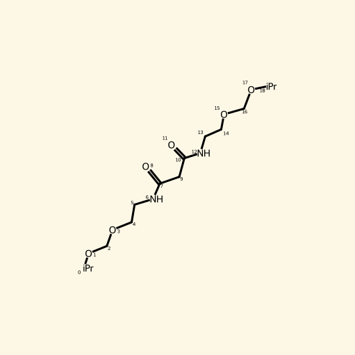 CC(C)OCOCCNC(=O)CC(=O)NCCOCOC(C)C